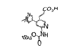 Cn1cc(-c2cc(NC(=O)OC(C)(C)C)ncc2C=CC(=O)O)cn1